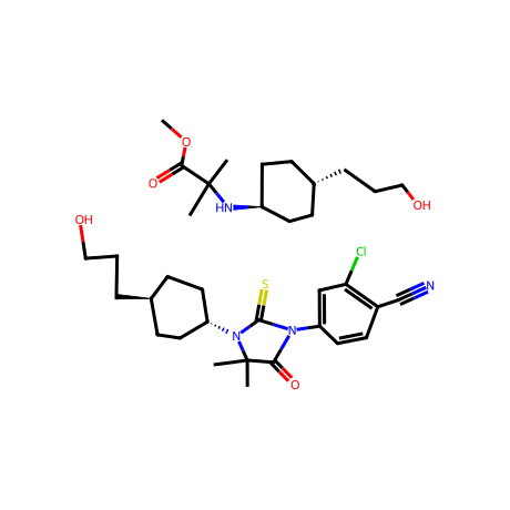 CC1(C)C(=O)N(c2ccc(C#N)c(Cl)c2)C(=S)N1[C@H]1CC[C@H](CCCO)CC1.COC(=O)C(C)(C)N[C@H]1CC[C@H](CCCO)CC1